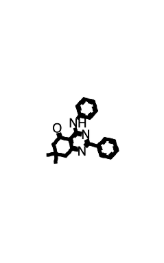 CC1(C)CC(=O)c2c(nc(-c3ccccc3)nc2Nc2ccccc2)C1